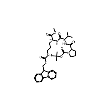 COC(=O)[C@H](CCCNC(=O)OCC1c2ccccc2-c2ccccc21)NC(=O)[C@@H](NC(=O)C1CCCN1C(=O)OC(C)(C)C)C(C)C